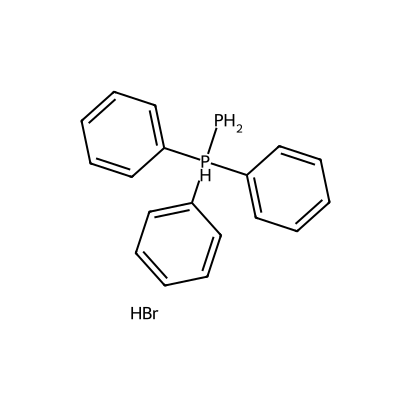 Br.P[PH](c1ccccc1)(c1ccccc1)c1ccccc1